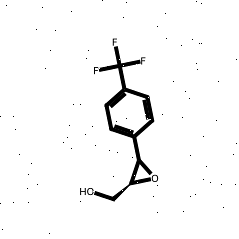 OC[C@@H]1OC1c1ccc(C(F)(F)F)cc1